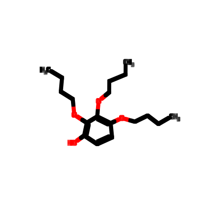 CCCCOc1ccc(O)c(OCCCC)c1OCCCC